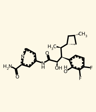 C[C@@H]([C@H]1C[C@@H](C)C1)[C@@H](c1ccc(F)c(F)c1O)[C@@H](O)C(=O)Nc1ccnc(C(N)=O)c1